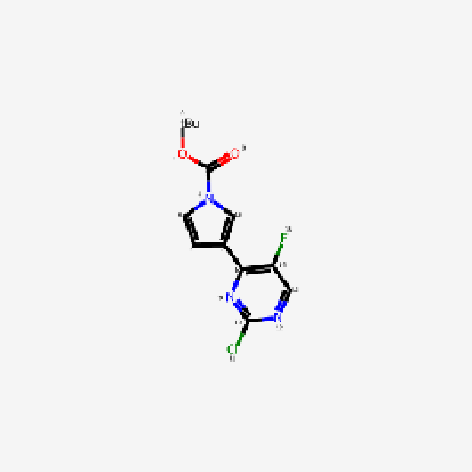 CC(C)(C)OC(=O)n1ccc(-c2nc(Cl)ncc2F)c1